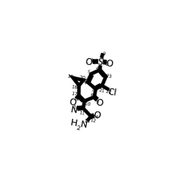 CS(=O)(=O)c1ccc(C(=O)c2c(C(N)=O)noc2C2CC2)c(Cl)c1